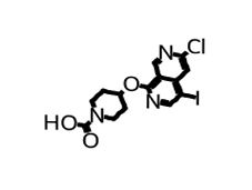 O=C(O)N1CCC(Oc2ncc(I)c3cc(Cl)ncc23)CC1